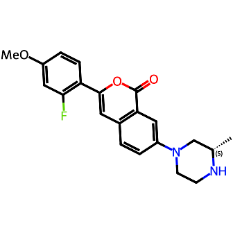 COc1ccc(-c2cc3ccc(N4CCN[C@@H](C)C4)cc3c(=O)o2)c(F)c1